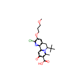 COCCCOc1cc2c(nc1Cl)-c1cc(=O)c(C(=O)O)c(C)n1C(C(C)(C)C)C2